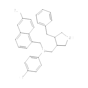 N#Cc1ccc2c(CN(CC3CNCC3Cc3ccccc3)c3ccc(Cl)cc3)cccc2c1